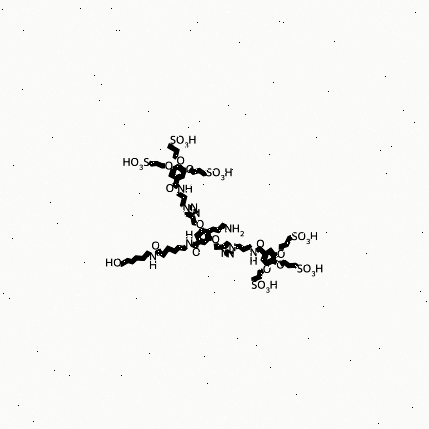 NCCCc1c(OCc2cn(CCCNC(=O)c3cc(OCCCS(=O)(=O)O)c(OCCCS(=O)(=O)O)c(OCCCS(=O)(=O)O)c3)nn2)cc(C(=O)NCCCCCC(=O)NCCCCCCO)cc1OCc1cn(CCCNC(=O)c2cc(OCCCS(=O)(=O)O)c(OCCCS(=O)(=O)O)c(OCCCS(=O)(=O)O)c2)nn1